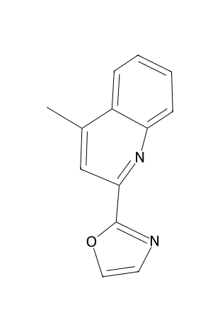 Cc1cc(-c2ncco2)nc2ccccc12